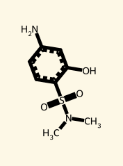 CN(C)S(=O)(=O)c1ccc(N)cc1O